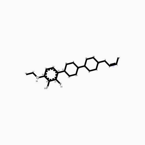 C/C=C\CC1CCC(C2CCC(c3ccc(OCC)c(F)c3F)CC2)CC1